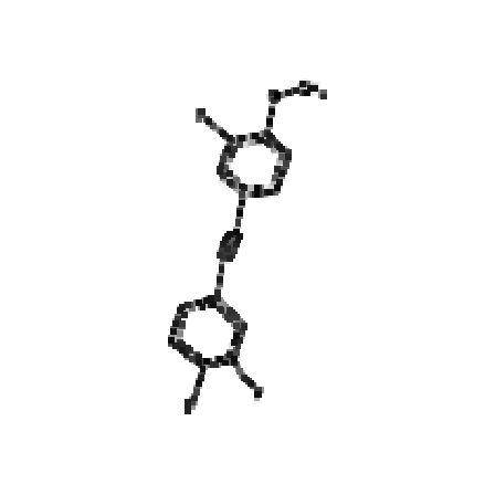 COc1ccc(C#Cc2ccc(F)c(F)c2)cc1F